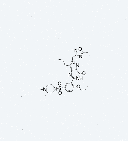 CCCc1c2nc(-c3cc(S(=O)(=O)N4CCN(C)CC4)ccc3OCC)[nH]c(=O)c2nn1Cc1noc(C)n1